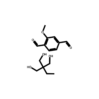 CCC(CO)(CO)CO.COc1cc(C=O)ccc1C=O